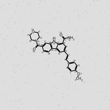 COc1ccc(C=Cc2cc(C(N)=O)c3[nH]c4cc(C(=O)N5CCOCC5)ccc4c3c2)cc1